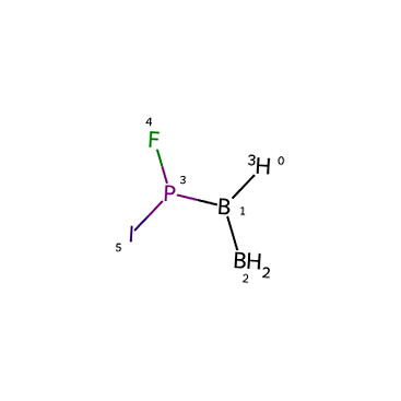 [3H]B(B)P(F)I